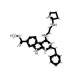 COC(=O)c1ccc2c(c1)[nH]c1nc(Cc3ccccc3)nc(NCCNC3=NCCC3)c12